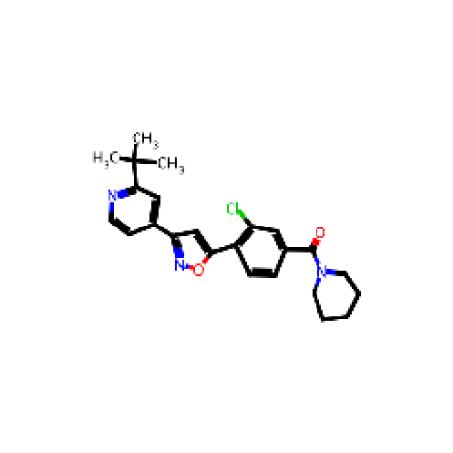 CC(C)(C)c1cc(-c2cc(-c3ccc(C(=O)N4CCCCC4)cc3Cl)on2)ccn1